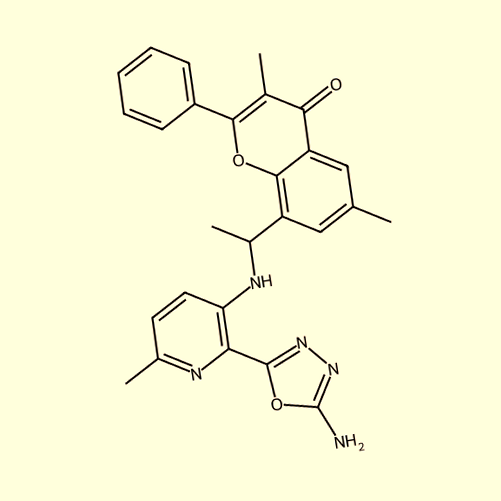 Cc1cc(C(C)Nc2ccc(C)nc2-c2nnc(N)o2)c2oc(-c3ccccc3)c(C)c(=O)c2c1